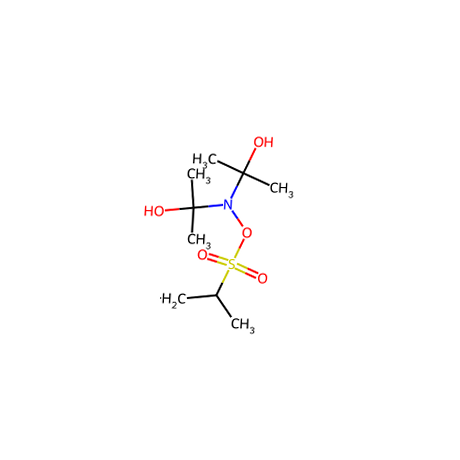 [CH2]C(C)S(=O)(=O)ON(C(C)(C)O)C(C)(C)O